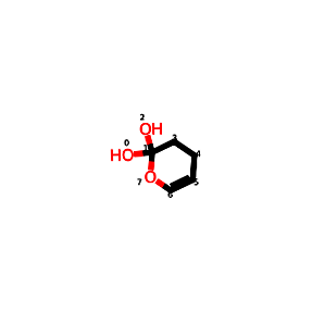 OC1(O)CCC=CO1